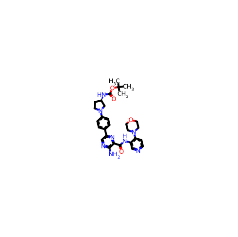 CC(C)(C)OC(=O)N[C@@H]1CCN(c2ccc(-c3cnc(N)c(C(=O)Nc4cnccc4N4CCOCC4)n3)cc2)C1